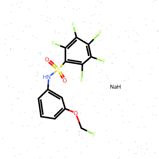 O=S(=O)(Nc1cccc(OCF)c1)c1c(F)c(F)c(F)c(F)c1F.[NaH]